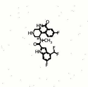 CN(C(=O)c1cc2c(C(F)F)cc(F)cc2[nH]1)[C@H]1CNCc2[nH]c(=O)c3cc(F)ccc3c21